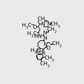 C=CCN1C(=O)C(Cc2c(C)ccc(C)c2C)C(C)CCC/C1=N\C(=N/C=C)NC(C)CC(OCC)C(CC)N1CCN(C)CC1